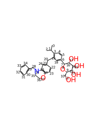 CC(C)c1ccc(C2O[C@H](CO)C(O)C(O)C2O)cc1Cc1ccc2c(c1)N(Cc1ccccc1)CCO2